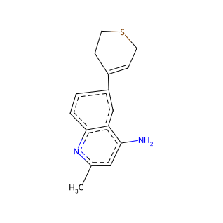 Cc1cc(N)c2cc(C3=CCSCC3)ccc2n1